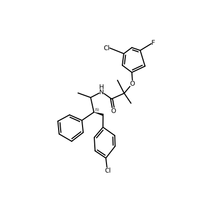 CC(NC(=O)C(C)(C)Oc1cc(F)cc(Cl)c1)[C@@H](Cc1ccc(Cl)cc1)c1ccccc1